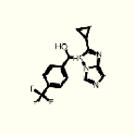 OC(c1ccc(C(F)(F)F)cc1)[SH]1C(C2CC2)=Nc2cncn21